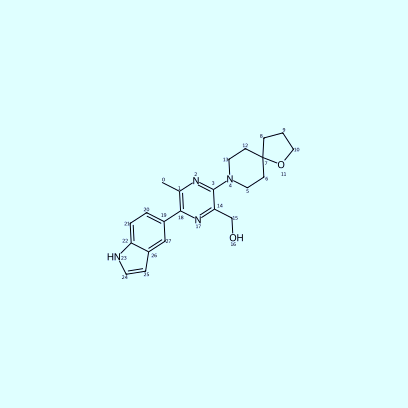 Cc1nc(N2CCC3(CCCO3)CC2)c(CO)nc1-c1ccc2[nH]ccc2c1